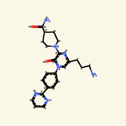 NCCCc1cn(-c2ccc(-c3ncccn3)cc2)c(=O)c(N2CCC(C(N)=O)CC2)n1